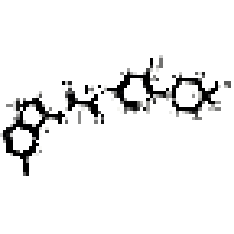 Cc1ccc2[nH]cc(NC(=O)C(=O)Nc3cnc(N4CCC(F)(F)CC4)c(Cl)c3)c2n1